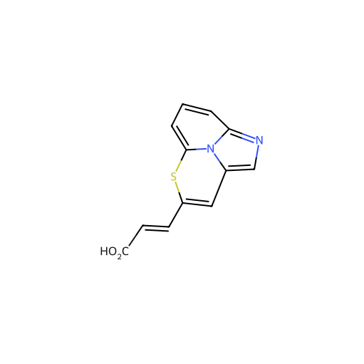 O=C(O)C=CC1=Cc2cnc3cccc(n23)S1